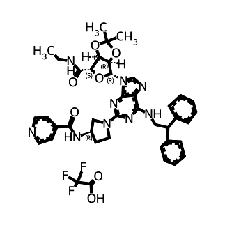 CCNC(=O)[C@H]1O[C@@H](n2cnc3c(NCC(c4ccccc4)c4ccccc4)nc(N4CC[C@@H](NC(=O)c5ccncc5)C4)nc32)[C@@H]2OC(C)(C)O[C@@H]21.O=C(O)C(F)(F)F